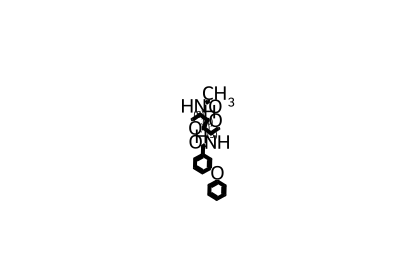 CC(=O)N[C@H]1CO[C@H]2[C@@H]1OC[C@@H]2NC(=O)c1cccc(Oc2ccccc2)c1